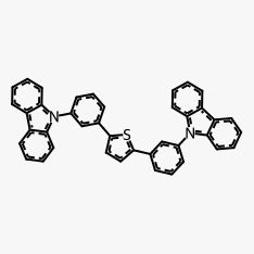 c1cc(-c2ccc(-c3cccc(-n4c5ccccc5c5ccccc54)c3)s2)cc(-n2c3ccccc3c3ccccc32)c1